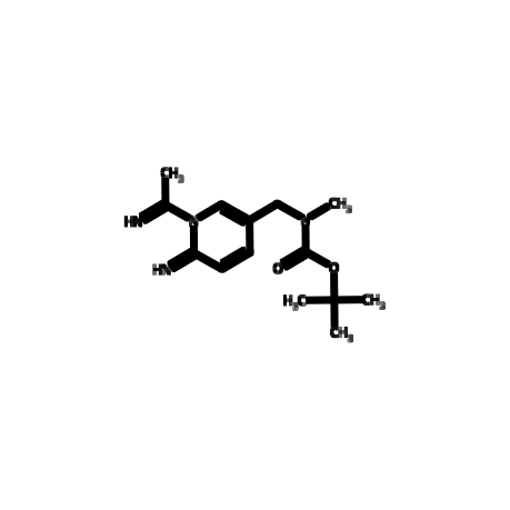 CC(=N)n1cc(CN(C)C(=O)OC(C)(C)C)ccc1=N